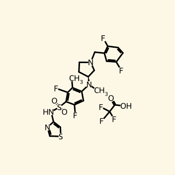 Cc1c(N(C)[C@H]2CCN(Cc3cc(F)ccc3F)C2)cc(F)c(S(=O)(=O)Nc2cscn2)c1F.O=C(O)C(F)(F)F